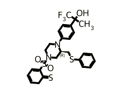 CC(O)(c1ccc(N2CCN(S(=O)(=O)C3=CC=CCC3=S)C[C@@H]2CSc2ccccc2)cc1)C(F)(F)F